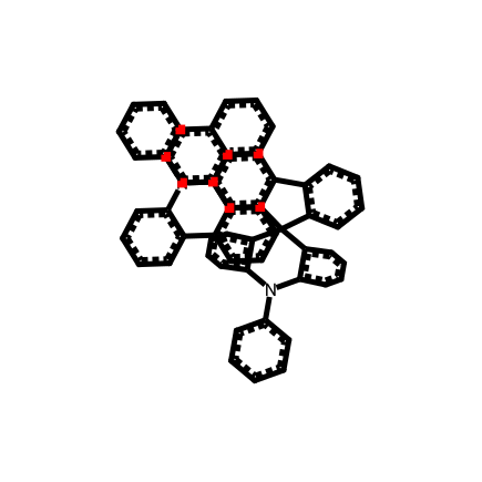 c1ccc(N(c2ccc3c(c2)C2(c4ccccc4-3)c3ccccc3N(c3ccccc3)c3ccccc32)c2ccccc2-c2ccccc2-c2cccc3ccccc23)cc1